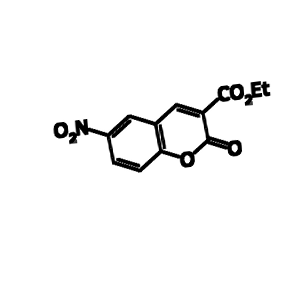 CCOC(=O)c1cc2cc([N+](=O)[O-])ccc2oc1=O